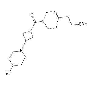 CCC1CCN(C2CC(C(=O)N3CCC(CCOC)CC3)C2)CC1